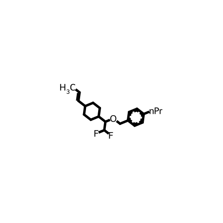 C/C=C/C1CCC(C(OCc2ccc(CCC)cc2)C(F)F)CC1